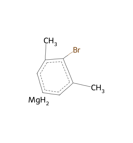 Cc1cccc(C)c1Br.[MgH2]